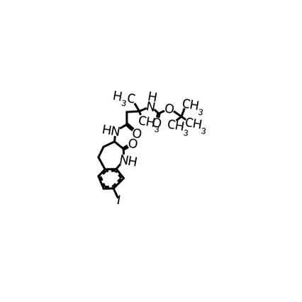 CC(C)(CC(=O)NC1CCc2ccc(I)cc2NC1=O)NC(=O)OC(C)(C)C